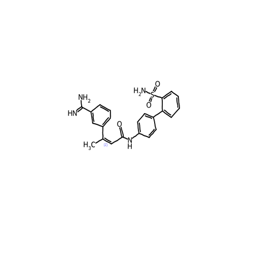 C/C(=C/C(=O)Nc1ccc(-c2ccccc2S(N)(=O)=O)cc1)c1cccc(C(=N)N)c1